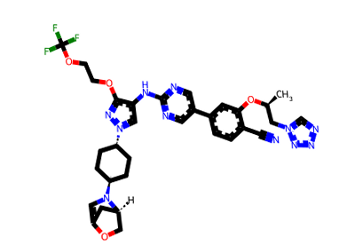 C[C@@H](Cn1cnnn1)Oc1cc(-c2cnc(Nc3cn([C@H]4CC[C@H](N5C=C6C[C@@H]5CO6)CC4)nc3OCCOC(F)(F)F)nc2)ccc1C#N